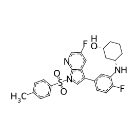 Cc1ccc(S(=O)(=O)n2cc(-c3ccc(F)c(N[C@H]4CCC[C@@H](O)C4)c3)c3cc(F)cnc32)cc1